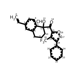 C=Cc1ccc2c(c1)CCCC2(C=O)C(=O)c1onc(-c2ccccc2)c1C(F)(F)F